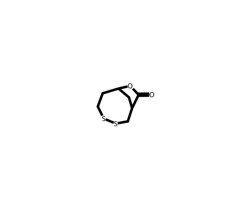 O=C1OC2CCSSCC1C2